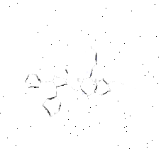 COc1ccc(/C(C)=C(/NC2=C(c3ccccc3)C(c3ccccc3)NN2C=O)N/C(N)=C/C=C\N)cc1